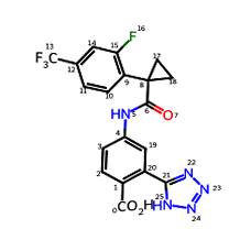 O=C(O)c1ccc(NC(=O)C2(c3ccc(C(F)(F)F)cc3F)CC2)cc1-c1nnn[nH]1